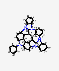 c1ccc(-n2c3ccc4c5c6c7n(c8ccccc8n47)-c4cccc7c4B6c4c6c(c53)c2ccc6n2c3ccccc3n-7c42)cc1